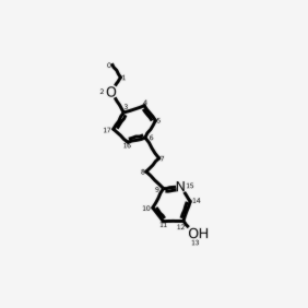 CCOc1ccc(CCc2ccc(O)cn2)cc1